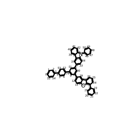 c1ccc(-c2ccc(-c3cc(-c4ccc5oc6c(-c7ccccc7)cccc6c5c4)cc(-c4ccc5c(c4)c4ccccc4n5-c4ccccc4)c3)cc2)cc1